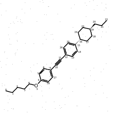 CCCCCOc1ccc(C#Cc2ccc([C@H]3CC[C@H](CCC)CC3)cc2)cc1